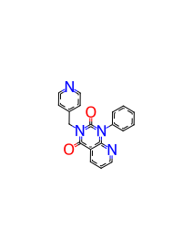 O=c1c2cccnc2n(-c2ccccc2)c(=O)n1Cc1ccncc1